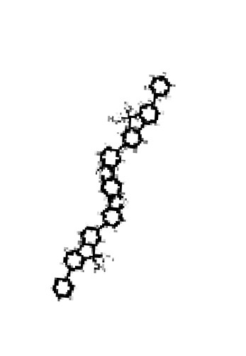 CC1(C)c2cc(-c3ccccc3)ccc2-c2ccc(-c3ccc4oc5cc6c(cc5c4c3)oc3ccc(-c4ccc5c(c4)C(C)(C)c4cc(-c7ccccc7)ccc4-5)cc36)cc21